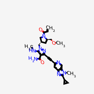 C=CC(=O)N1C[C@@H](Cn2nc(C#Cc3cc4nc(C5CC5)n(C)c4cn3)c(C(N)=O)c2NC)C[C@@H]1COC